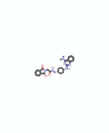 CN(C)c1nc(N[C@H]2CC[C@@H](CNC(=O)CN3C(=O)c4ccccc4C3=O)CC2)nc2ccccc12